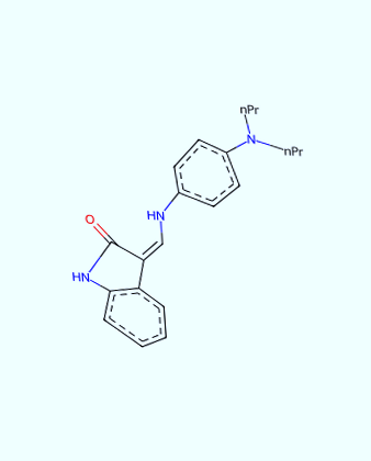 CCCN(CCC)c1ccc(NC=C2C(=O)Nc3ccccc32)cc1